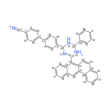 N#Cc1ccc(-c2ccc(C(/N=C/c3c4ccccc4cc4c3ccc3ccccc34)NC(N)c3ccccc3)cc2)cc1